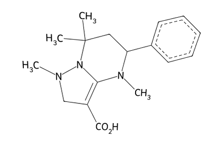 CN1C2=C(C(=O)O)CN(C)N2C(C)(C)CC1c1ccccc1